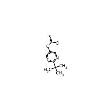 CC(C)(C)c1ncc(OC(=S)Cl)cn1